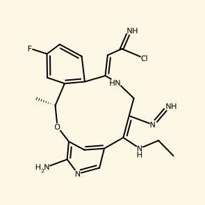 CCN/C1=C(\N=N)CN/C(=C\C(=N)Cl)c2ccc(F)cc2[C@@H](C)Oc2cc1cnc2N